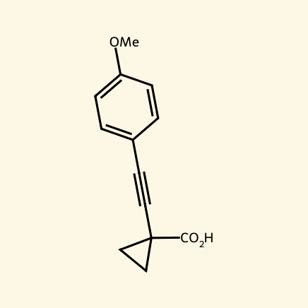 COc1ccc(C#CC2(C(=O)O)CC2)cc1